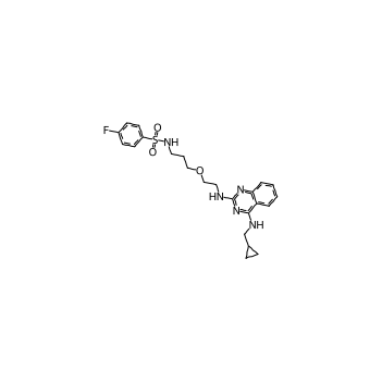 O=S(=O)(NCCCOCCNc1nc(NCC2CC2)c2ccccc2n1)c1ccc(F)cc1